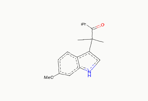 COc1ccc2c(C(C)(C)C(=O)C(C)C)c[nH]c2c1